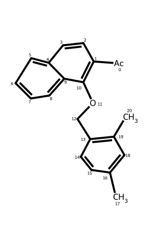 CC(=O)c1ccc2ccccc2c1OCc1ccc(C)cc1C